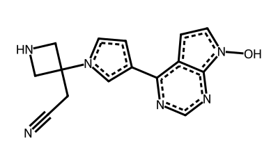 N#CCC1(n2ccc(-c3ncnc4c3ccn4O)c2)CNC1